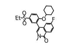 CCS(=O)(=O)c1ccc(OC2CCCCC2)c(-c2cn(C)c(=O)c3ccc(F)cc23)c1